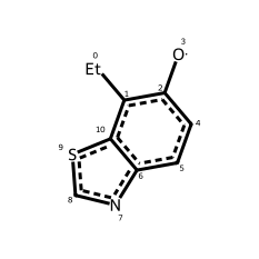 CCc1c([O])ccc2ncsc12